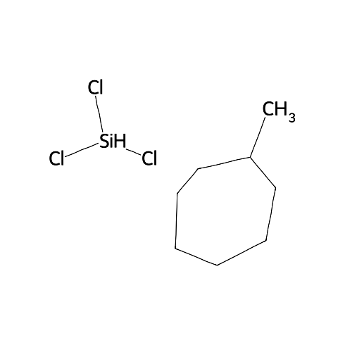 CC1CCCCCC1.Cl[SiH](Cl)Cl